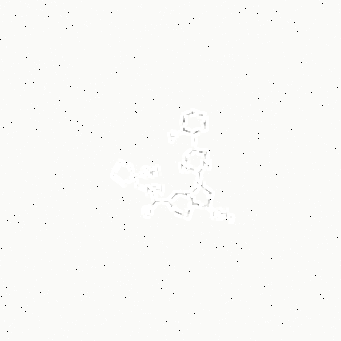 Cc1cn(-c2ncc(-c3ccccc3F)cn2)c2cc(C(=O)NCC3(O)CCCC3)ccc12